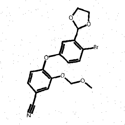 COCOc1cc(C#N)ccc1Oc1ccc(Br)c(C2OCCO2)c1